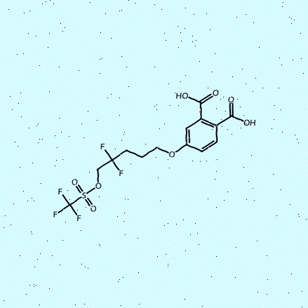 O=C(O)c1ccc(OCCCC(F)(F)COS(=O)(=O)C(F)(F)F)cc1C(=O)O